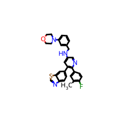 Cc1cc(-c2ncc(NCc3cccc(N4CCOCC4)c3)cc2-c2ccc3ncsc3c2)ccc1F